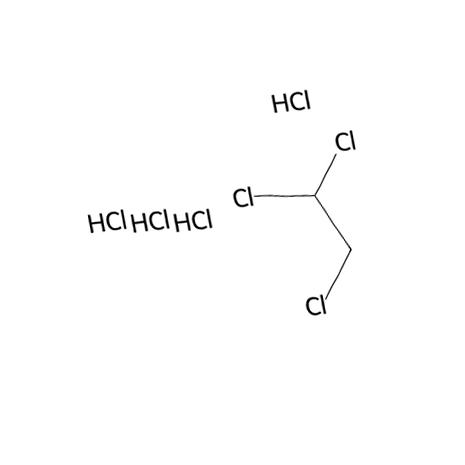 Cl.Cl.Cl.Cl.ClCC(Cl)Cl